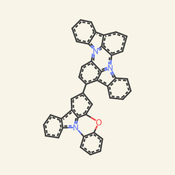 c1ccc2c(c1)Oc1cc(-c3ccc4c5c3c3ccccc3n5c3cccc5c6ccccc6n4c53)cc3c4ccccc4n-2c13